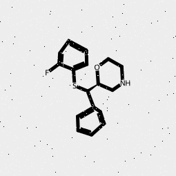 Fc1ccccc1SC(c1ccccc1)[C@@H]1CNCCO1